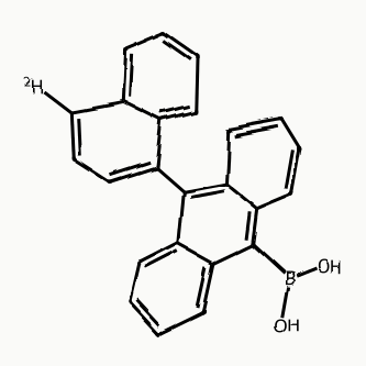 [2H]c1ccc(-c2c3ccccc3c(B(O)O)c3ccccc23)c2ccccc12